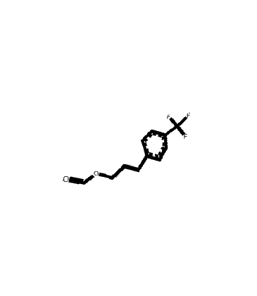 O=COCCCc1ccc(C(F)(F)F)cc1